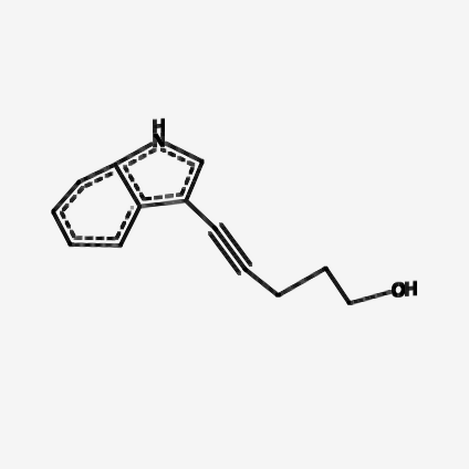 OCCCC#Cc1c[nH]c2ccccc12